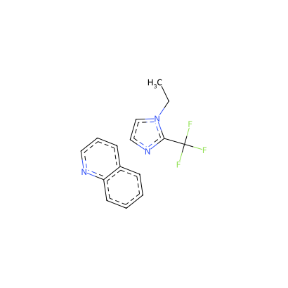 CCn1ccnc1C(F)(F)F.c1ccc2ncccc2c1